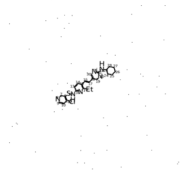 CCc1nc(NSc2cnccc2Cl)ccc1/C=C/c1cnc(NC2CCCCC2)nc1